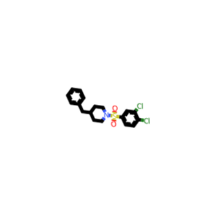 O=S(=O)(c1ccc(Cl)c(Cl)c1)N1CCC(Cc2ccccc2)CC1